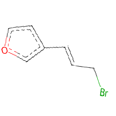 BrCC=Cc1ccoc1